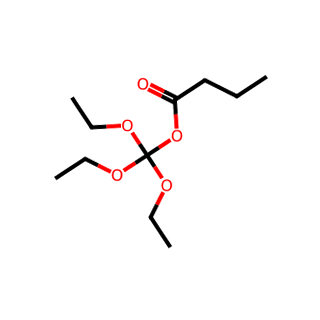 CCCC(=O)OC(OCC)(OCC)OCC